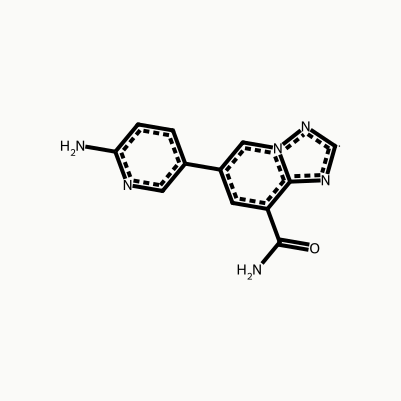 NC(=O)c1cc(-c2ccc(N)nc2)cn2n[c]nc12